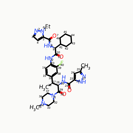 CCn1nccc1C(=O)N[C@H](C(=O)Nc1ccc([C@H](C)[C@@H](NC(=O)c2cc(C)n[nH]2)C(=O)N2CCN(C)CC2)cc1F)C1CCCCC1